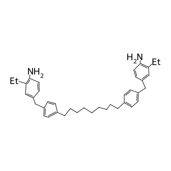 CCc1cc(Cc2ccc(CCCCCCCCCc3ccc(Cc4ccc(N)c(CC)c4)cc3)cc2)ccc1N